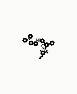 C=CCc1cc(C)c(N=Cc2cc(-c3ccccc3)cc(-c3ccccc3)c2[O-])c(C(C)C)c1.[Ni+][c]1ccccc1.c1ccc(P(c2ccccc2)c2ccccc2)cc1